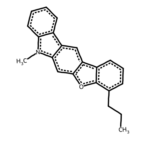 CCCc1cccc2c1oc1cc3c(cc12)c1ccccc1n3C